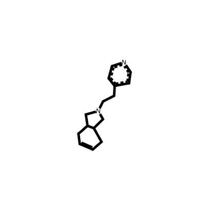 C1=CCC2CN(CCc3ccncc3)CC2C1